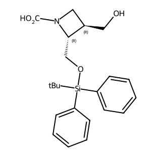 CC(C)(C)[Si](OC[C@H]1[C@H](CO)CN1C(=O)O)(c1ccccc1)c1ccccc1